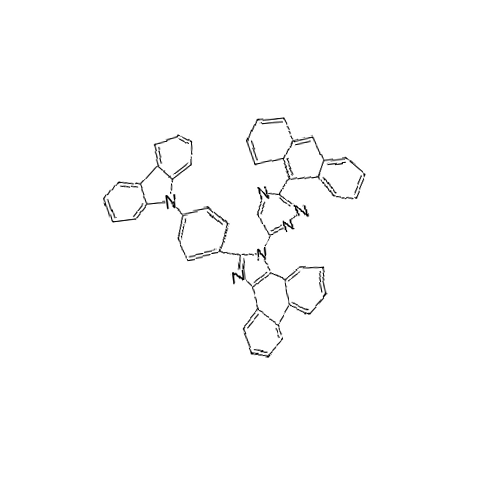 c1ccc2c(-c3ncc(-n4c(-c5ccc(-n6c7ccccc7c7ccccc76)cc5)nc5c6ccccc6c6ccccc6c54)nn3)c3ccccc3cc2c1